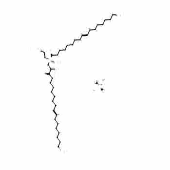 CCCCCCCCC=CCCCCCCCC(=O)C(O)C[N+](C)(CCN)C(=O)CCCCCCCC=CCCCCCCCC.COS(=O)(=O)[O-]